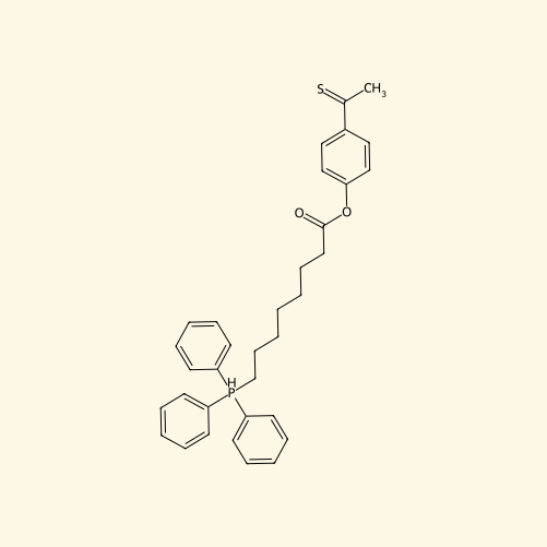 CC(=S)c1ccc(OC(=O)CCCCCCC[PH](c2ccccc2)(c2ccccc2)c2ccccc2)cc1